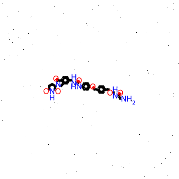 NCC(=O)NCOCc1ccc(COc2ccc(NC(=O)NCc3ccc4c(c3)CN(C3CCC(=O)NC3=O)C4=O)cc2)cc1